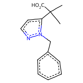 CC(C)(C(=O)O)c1ccnn1Cc1ccccc1